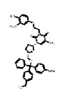 COc1ccc(C(OC[C@@H]2CC[C@H](n3cc(C)c(=O)n(CCSc4ccc([N+](=O)[O-])c(C(=O)O)c4)c3=O)O2)(c2ccccc2)c2ccc(CO)cc2)cc1